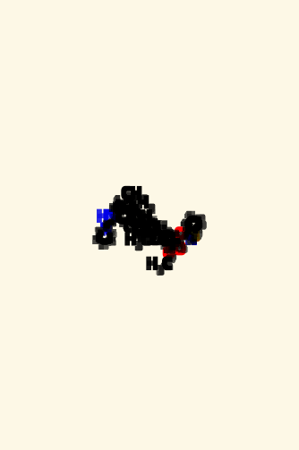 C=C(C)[C@@H]1CC[C@]2(NCCN3CCCCC3)CC[C@]3(C)[C@H](CC[C@@H]4[C@@]5(C)CC=C(C6=CCC(COc7nsc8ccccc78)(C(=O)OCC)CC6)C(C)(C)[C@@H]5CC[C@]43C)[C@@H]12